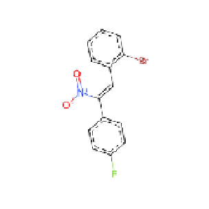 O=[N+]([O-])C(=Cc1ccccc1Br)c1ccc(F)cc1